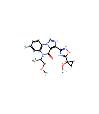 COCC(C)n1c(=O)c2c(-c3noc(C4(OC)CC4)n3)ncn2c2ccc(Cl)cc21